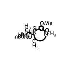 CCCCNC(=O)C(C)CC(O)C1C[C@H](C)CCCCCN(C)C(=O)c2cc(OC)cc(c2)C(=O)N1